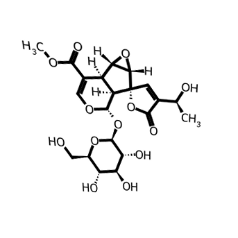 COC(=O)C1=CO[C@@H](O[C@@H]2O[C@H](CO)[C@@H](O)[C@H](O)[C@H]2O)[C@H]2[C@@H]1[C@@H]1O[C@@H]1[C@@]21C=C([C@H](C)O)C(=O)O1